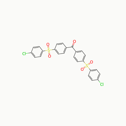 O=C(c1ccc(S(=O)(=O)c2ccc(Cl)cc2)cc1)c1ccc(S(=O)(=O)c2ccc(Cl)cc2)cc1